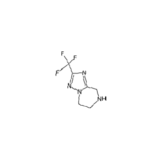 FC(F)(F)c1nc2n(n1)CCNC2